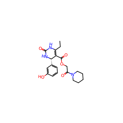 CCC1=C(C(=O)OCC(=O)N2CCCCC2)[C@H](c2cccc(O)c2)NC(=O)N1